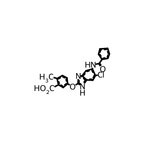 Cc1ccc(Oc2nc3cc(NC(=O)c4ccccc4)c(Cl)cc3[nH]2)cc1C(=O)O